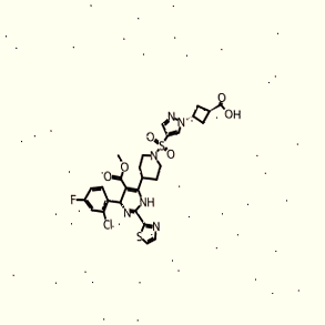 COC(=O)C1=C(C2CCN(S(=O)(=O)c3cnn([C@H]4C[C@H](C(=O)O)C4)c3)CC2)NC(c2nccs2)=NC1c1ccc(F)cc1Cl